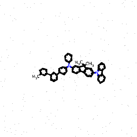 Cc1cccc(-c2cccc(-c3ccc(N(c4ccccc4)c4ccc5c(c4)C(C)(C)c4cc(-n6c7ccccc7c7ccccc76)ccc4-5)cc3)c2)c1